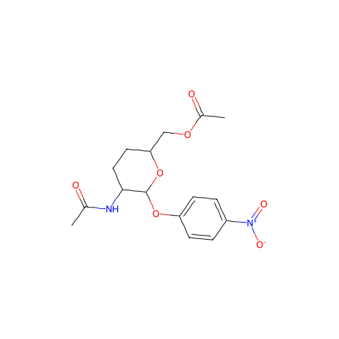 CC(=O)NC1CCC(COC(C)=O)OC1Oc1ccc([N+](=O)[O-])cc1